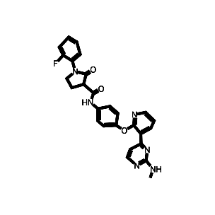 CNc1nccc(-c2cccnc2Oc2ccc(NC(=O)C3CCN(c4ccccc4F)C3=O)cc2)n1